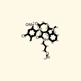 COc1cc(Cl)c(C)cc1N1C(=O)CSc2c(c3ccccc3n2C)C1C(=O)NCCCOC(C)C